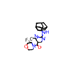 O=C(C1CN=C(NC23CC4CC(CC(C4)C2)C3)N=C1C(F)(F)F)N1CCOCC1